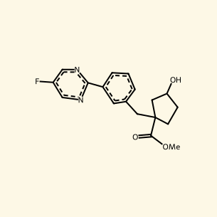 COC(=O)C1(Cc2cccc(-c3ncc(F)cn3)c2)CCC(O)C1